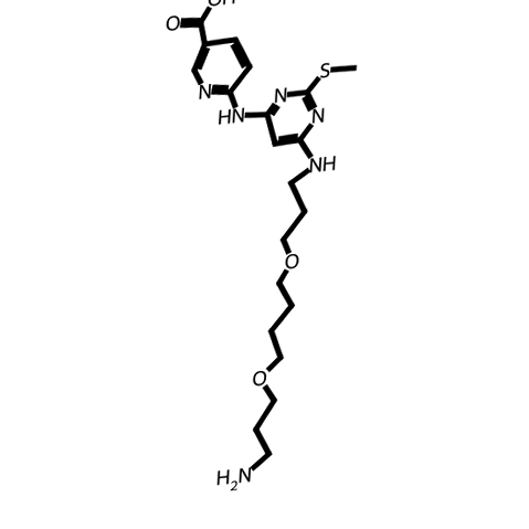 CSc1nc(NCCCOCCCCOCCCN)cc(Nc2ccc(C(=O)O)cn2)n1